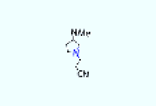 CNC1CCN(CCC#N)C1